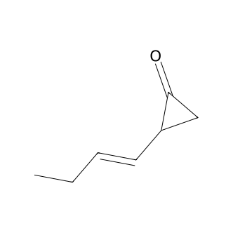 CC/C=C/C1CC1=O